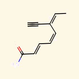 C#CC(/C=C\C=C\C(N)=O)=C/C